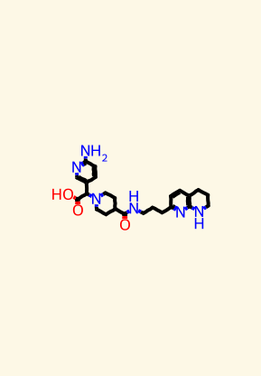 Nc1ccc(C(C(=O)O)N2CCC(C(=O)NCCCc3ccc4c(n3)NCCC4)CC2)cn1